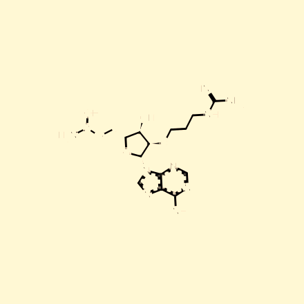 N=C(N)NCCCO[C@@H]1[C@H](O)[C@@H](COP(N)O)O[C@H]1n1cnc2c(N)ncnc21